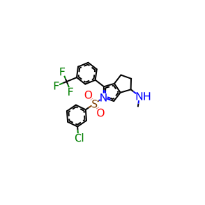 CNC1CCc2c1cn(S(=O)(=O)c1cccc(Cl)c1)c2-c1cccc(C(F)(F)F)c1